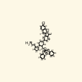 Cc1nn([C@H](C)c2ccc(Cl)cc2Cl)c2nc(N3CCC(N4CCCC4CCN)C(COP(=O)(Oc4ccccc4)Oc4ccccc4)C3)cnc12